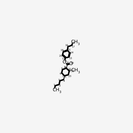 CCCCC[C@H]1CC[C@@H](C(=O)Oc2ccc(CCC)cc2)[C@H](C)C1